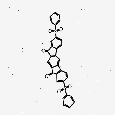 O=c1c2cc(S(=O)(=O)c3ccccc3)ccc2c2cc3c(cc12)c(=O)c1cc(S(=O)(=O)c2ccccc2)ccc13